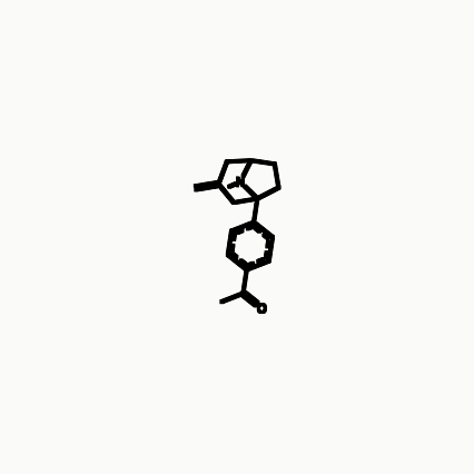 C=C1CC2CCC(c3ccc(C(C)=O)cc3)(C1)N2C